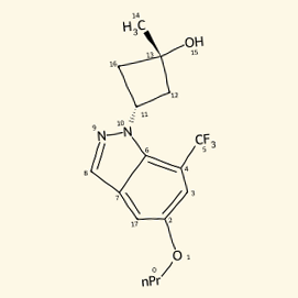 CCCOc1cc(C(F)(F)F)c2c(cnn2[C@H]2C[C@@](C)(O)C2)c1